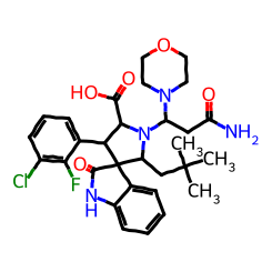 CC(C)(C)CC1N(C(CC(N)=O)N2CCOCC2)C(C(=O)O)C(c2cccc(Cl)c2F)C12C(=O)Nc1ccccc12